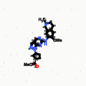 COC(=O)[C@H]1CC[C@H](n2ncc3cnc(Nc4cc5c(cc4OC)CCN(C)C5)nc32)C1